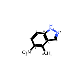 Cc1c([N+](=O)[O-])ccc2[nH]ncc12